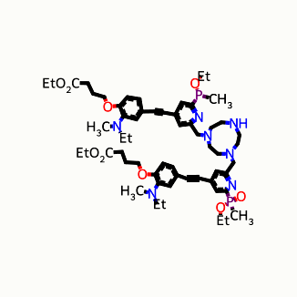 CCOC(=O)CCCOc1ccc(C#Cc2cc(CN3CCNCCN(Cc4cc(C#Cc5ccc(OCCCC(=O)OCC)c(N(C)CC)c5)cc(P(C)(=O)OCC)n4)CC3)nc(P(C)OCC)c2)cc1N(C)CC